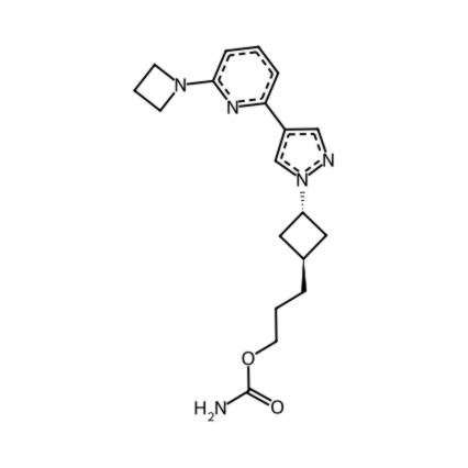 NC(=O)OCCC[C@H]1C[C@H](n2cc(-c3cccc(N4CCC4)n3)cn2)C1